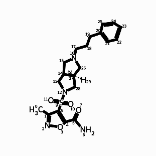 Cc1noc(C(N)=O)c1S(=O)(=O)N1CC2CN(CC[CH]c3ccccc3)C[C@H]2C1